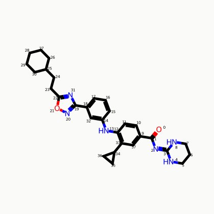 O=C(N=C1NCCCN1)c1ccc(Nc2cccc(-c3noc(CCC4CCCCC4)n3)c2)c(C2CC2)c1